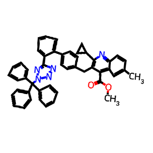 COC(=O)c1c(Cc2ccc(-c3ccccc3-c3nnn(C(c4ccccc4)(c4ccccc4)c4ccccc4)n3)cc2)c(C2CC2)nc2ccc(C)cc12